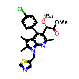 COC(=O)[C@@H](OC(C)(C)C)c1c(C)nc2c(c(C)c(C)n2Cc2cncs2)c1-c1ccc(Cl)cc1